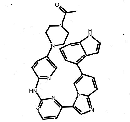 CC(=O)N1CCN(c2ccc(Nc3nccc(-c4cnc5ccc(-c6cccc7[nH]ccc67)cn45)n3)nc2)CC1